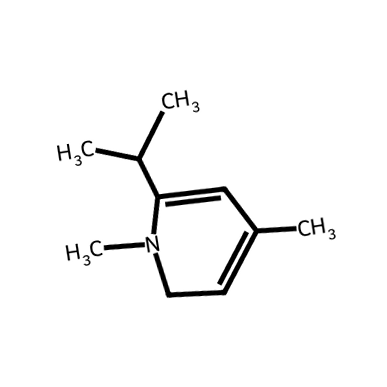 CC1=CCN(C)C(C(C)C)=C1